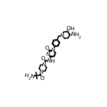 CC(C)(N)C(=O)N1CCN(C(=O)Nc2ccn(-c3ccc(CN4CC[C@@H](N)[C@@H](O)C4)cc3)c(=O)n2)CC1